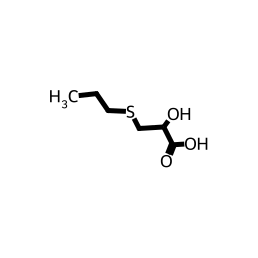 CCCSCC(O)C(=O)O